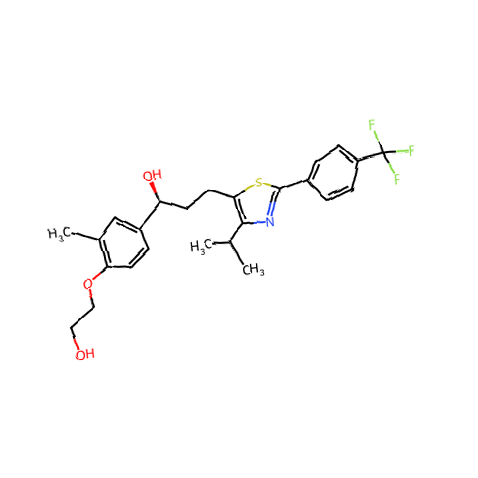 Cc1cc([C@@H](O)CCc2sc(-c3ccc(C(F)(F)F)cc3)nc2C(C)C)ccc1OCCO